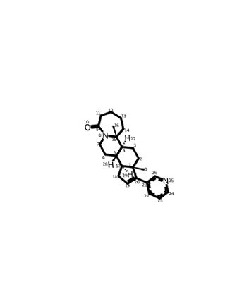 C[C@]12CC[C@H]3[C@@H](CCN4C(=O)CCCC[C@]34C)[C@@H]1CC=C2c1cccnc1